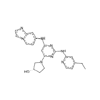 CCc1ccnc(Nc2nc(Nc3ccn4ccnc4c3)cc(N3CC[C@H](O)C3)n2)c1